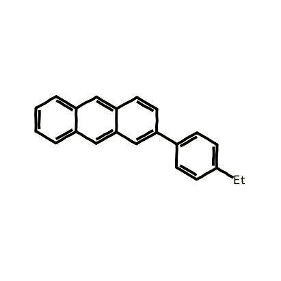 CCc1ccc(-c2ccc3cc4ccccc4cc3c2)cc1